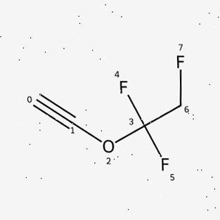 C#COC(F)(F)CF